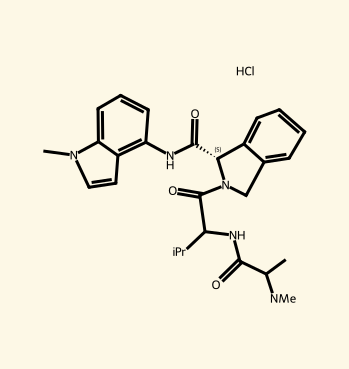 CNC(C)C(=O)NC(C(=O)N1Cc2ccccc2[C@H]1C(=O)Nc1cccc2c1ccn2C)C(C)C.Cl